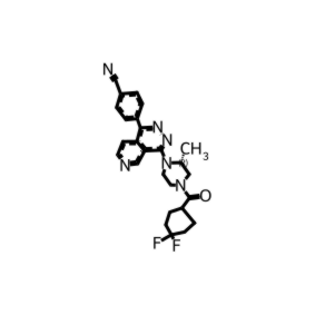 C[C@@H]1CN(C(=O)C2CCC(F)(F)CC2)CCN1c1nnc(-c2ccc(C#N)cc2)c2ccncc12